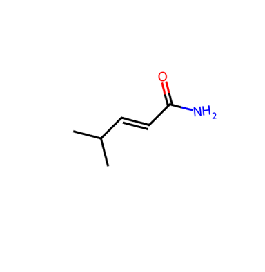 CC(C)/C=C/C(N)=O